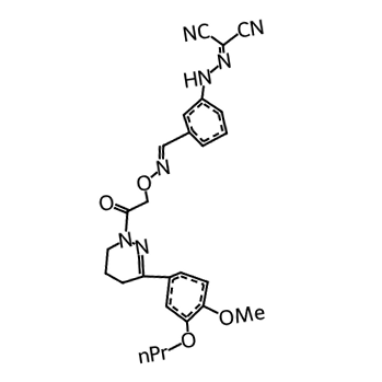 CCCOc1cc(C2=NN(C(=O)CON=Cc3cccc(NN=C(C#N)C#N)c3)CCC2)ccc1OC